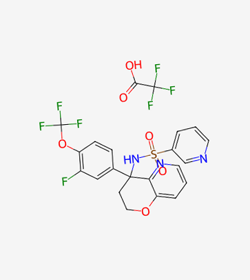 O=C(O)C(F)(F)F.O=S(=O)(NC1(c2ccc(OC(F)(F)F)c(F)c2)CCOc2cccnc21)c1cccnc1